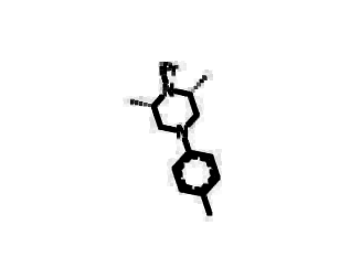 Cc1ccc(N2C[C@@H](C)N(C(C)C)[C@@H](C)C2)cc1